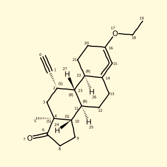 C#C[C@H]1C[C@]2(C)C(=O)CC[C@H]2[C@@H]2CCC3=C=C(OCC)CC[C@@H]3[C@H]21